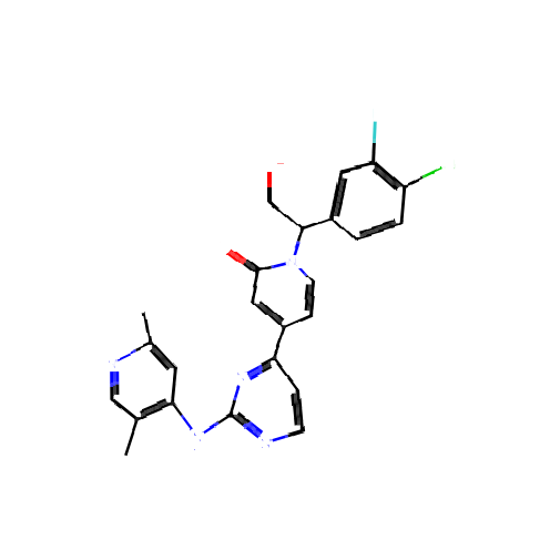 Cc1cc(Nc2nccc(-c3ccn(C(CO)c4ccc(Cl)c(F)c4)c(=O)c3)n2)c(C)cn1